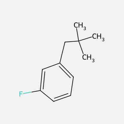 CC(C)(C)Cc1cccc(F)c1